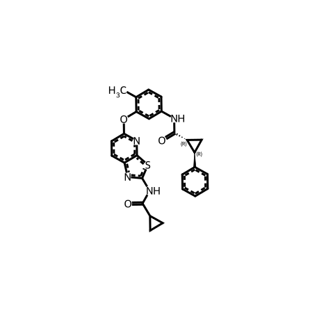 Cc1ccc(NC(=O)[C@@H]2C[C@H]2c2ccccc2)cc1Oc1ccc2nc(NC(=O)C3CC3)sc2n1